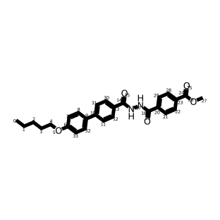 CCCCCOc1ccc(-c2ccc(C(=O)NNC(=O)c3ccc(C(=O)OC)cc3)cc2)cc1